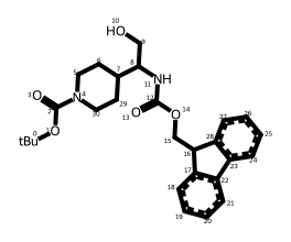 CC(C)(C)OC(=O)N1CCC(C(CO)NC(=O)OCC2c3ccccc3-c3ccccc32)CC1